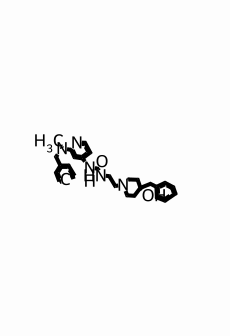 CN(Cc1ccccc1)c1cc(NC(=O)NCCN2CCC(O)(Cc3ccccc3)CC2)ccn1